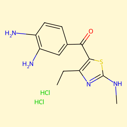 CCc1nc(NC)sc1C(=O)c1ccc(N)c(N)c1.Cl.Cl